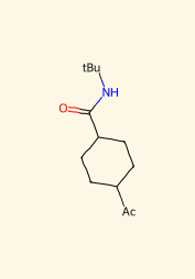 CC(=O)C1CCC(C(=O)NC(C)(C)C)CC1